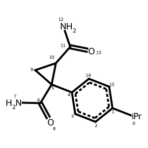 CC(C)c1ccc(C2(C(N)=O)CC2C(N)=O)cc1